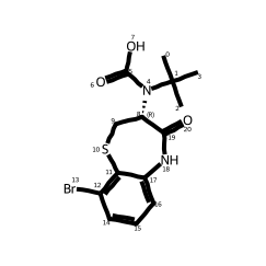 CC(C)(C)N(C(=O)O)[C@H]1CSc2c(Br)cccc2NC1=O